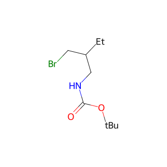 CCC(CBr)CNC(=O)OC(C)(C)C